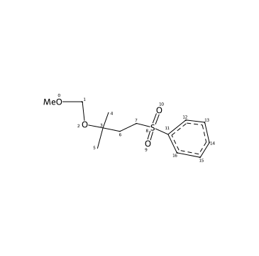 COCOC(C)(C)CCS(=O)(=O)c1ccccc1